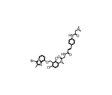 Cc1nc2c(OCc3c(Cl)ccc(N(C)C(=O)CNC(=O)/C=C/c4ccc(NC(=O)CN(C)C)cc4)c3Cl)cccn2c1Br